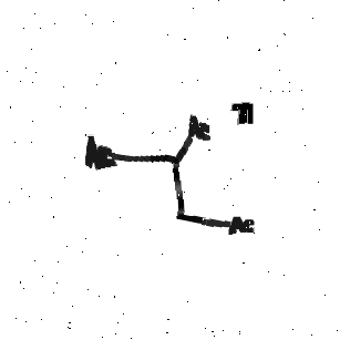 CC(=O)CC(C(C)=O)C(C)=O.[Ti]